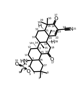 CC1(C)CC[C@]2(NS(C)(=O)=O)CC[C@]3(C)C(C(=O)C[C@@H]4[C@@]5(C)C=C(C#N)C(=O)C(C)(C)[C@@H]5CC[C@]43C)C2C1